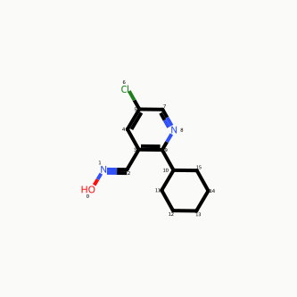 ON=Cc1cc(Cl)cnc1C1CCCCC1